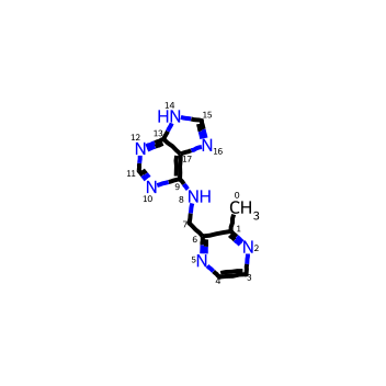 Cc1nccnc1CNc1ncnc2[nH]cnc12